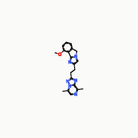 COc1cccc2c1-c1nc(CCc3nc4c(C)ncc(C)n4n3)cn1C2